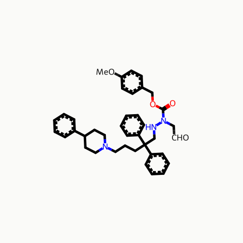 COc1ccc(COC(=O)N(CC=O)NCC(CCCN2CCC(c3ccccc3)CC2)(c2ccccc2)c2ccccc2)cc1